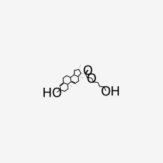 C[C@H]1CC2C3CCC4=CC(O)CC[C@]4(C)C3=CC[C@]2(C)[C@H]1C(=O)COCCCCO